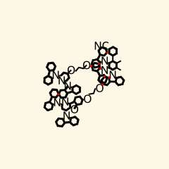 Cc1c(C)c(-n2c3ccccc3c3ccccc32)c(-n2c3ccc(OCCCOc4cc(-n5c6ccccc6c6ccccc65)nc(-n5c6ccccc6c6ccccc65)c4)cc3c3cc(OCCCOc4ccc5c(c4)oc4c(-n6c7ccccc7c7ccccc76)cc(-n6c7ccccc7c7ccccc76)nc45)ccc32)c(-n2c3ccccc3c3ccccc32)c1-c1cccc(C#N)c1